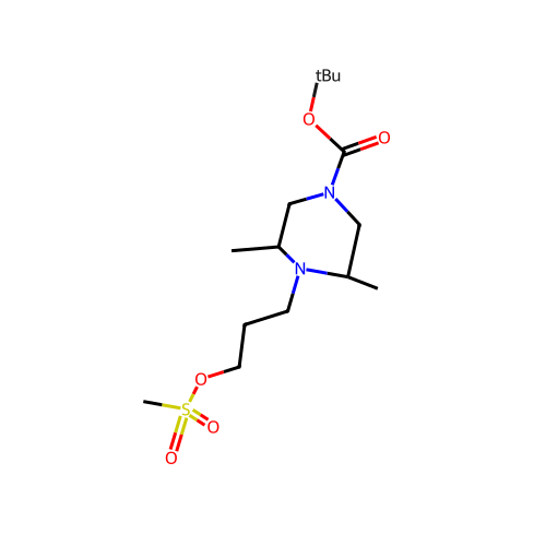 CC1CN(C(=O)OC(C)(C)C)CC(C)N1CCCOS(C)(=O)=O